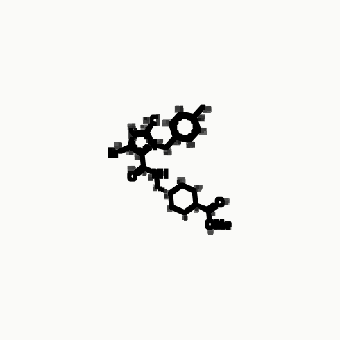 COC(=O)[C@H]1CC[C@H](CNC(=O)c2c(Br)nc(Cl)n2Cc2ccc(C)cc2)CC1